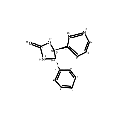 O=C1N[C@@H](c2ccccc2)[C@H](c2cccnn2)O1